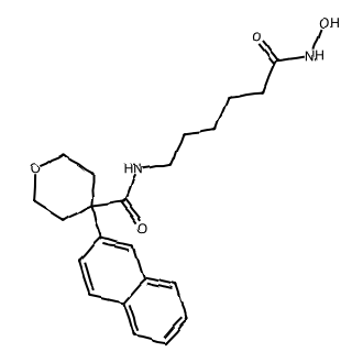 O=C(CCCCCNC(=O)C1(c2ccc3ccccc3c2)CCOCC1)NO